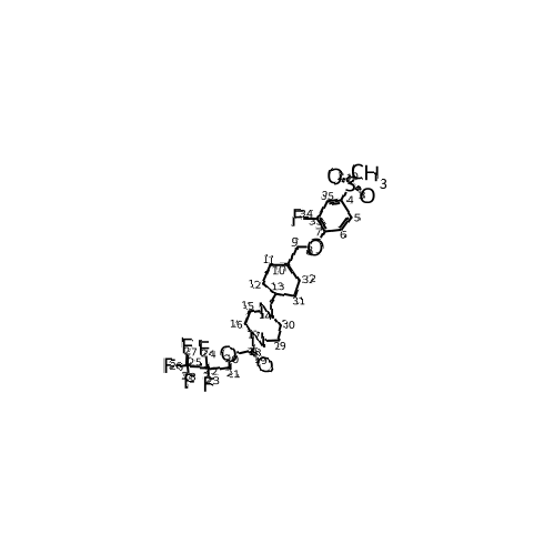 CS(=O)(=O)c1ccc(OCC2CCC(N3CCN(C(=O)OCC(F)(F)C(F)(F)F)CC3)CC2)c(F)c1